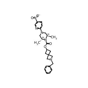 C[C@@H]1CN(c2ccc([N+](=O)[O-])cn2)C[C@@H](C)N1C(=O)OC1CC2(C1)CN(Cc1ccccc1)C2